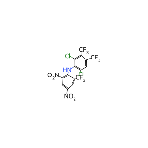 O=[N+]([O-])c1cc([N+](=O)[O-])c(Nc2c(Cl)cc(C(F)(F)F)c(C(F)(F)F)c2Cl)c(C(F)(F)F)c1